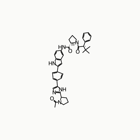 CC(=O)N1CCCC1c1ncc(-c2ccc(-c3cc4cc(NC(=O)[C@@H]5CCCN5C(=O)[C](c5ccccc5)C(C)(C)C)ccc4[nH]3)cc2)[nH]1